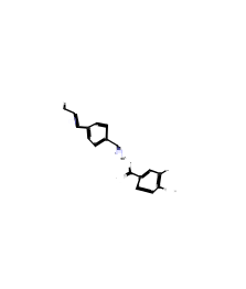 O=C(N/N=C/c1ccc(/C=C/CO)cc1)c1ccc(O)c(Cl)c1